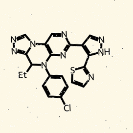 CCC1c2nncn2-c2cnc(-c3cn[nH]c3-c3nccs3)nc2N1c1ccc(Cl)cc1